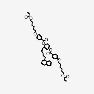 C=CC(=O)OCCCCCCOc1ccc(C(=O)OC2=CCC(OC(=O)c3ccc(OCCCCCCOC(=O)C=C)cc3)C(/C=C\CCCc3cccc4ccccc34)=C2)cc1